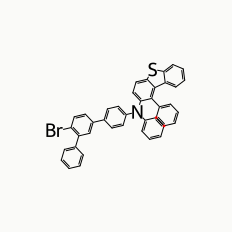 Brc1ccc(-c2ccc(N(c3ccccc3)c3ccc4sc5ccccc5c4c3-c3ccccc3)cc2)cc1-c1ccccc1